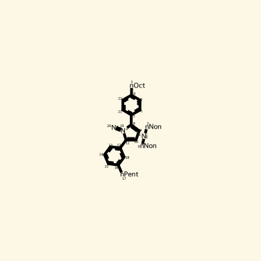 CCCCCCCC[CH2][Ni][CH2]CCCCCCCC.CCCCCCCCc1ccc(C2=CC=C(c3cccc(CCCCC)c3)[N+]2=[N-])cc1